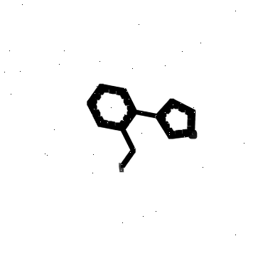 ICc1ccccc1-c1ccoc1